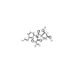 CC=Cc1cccc2c1OC(C(C)C)C(=O)N2C(=O)c1ccc(OC)cc1OC